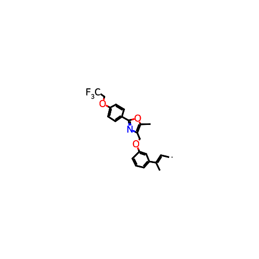 [CH2]C=C(C)c1cccc(OCc2nc(-c3ccc(OCC(F)(F)F)cc3)oc2C)c1